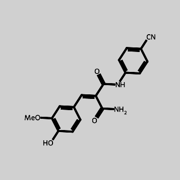 COc1cc(/C=C(\C(N)=O)C(=O)Nc2ccc(C#N)cc2)ccc1O